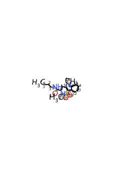 CCCCNC(=O)C1=Cc2c(c3ccccc3n2C)S(=O)(=O)N1C